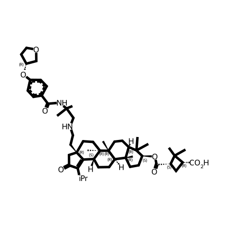 CC(C)C1=C2[C@H]3CC[C@@H]4[C@@]5(C)CC[C@H](OC(=O)[C@H]6C[C@@H](C(=O)O)C6(C)C)C(C)(C)[C@@H]5CC[C@@]4(C)[C@]3(C)CC[C@@]2(CCNCC(C)(C)NC(=O)c2ccc(O[C@@H]3CCOC3)cc2)CC1=O